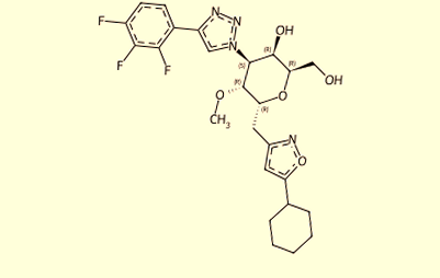 CO[C@@H]1[C@@H](n2cc(-c3ccc(F)c(F)c3F)nn2)[C@@H](O)[C@@H](CO)O[C@@H]1Cc1cc(C2CCCCC2)on1